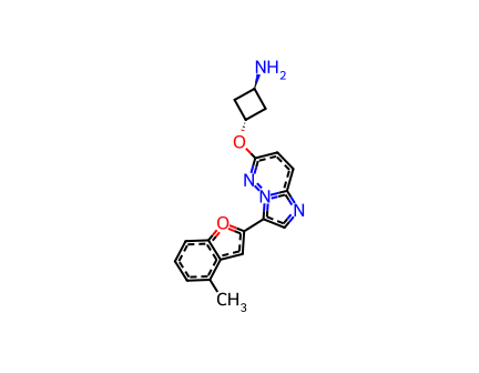 Cc1cccc2oc(-c3cnc4ccc(O[C@H]5C[C@H](N)C5)nn34)cc12